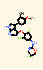 CC(C)Oc1ccc(-c2c[nH]c3nccc(Oc4c(F)cc(NC5=NCC(F)(F)CO5)cc4F)c23)cc1C#N